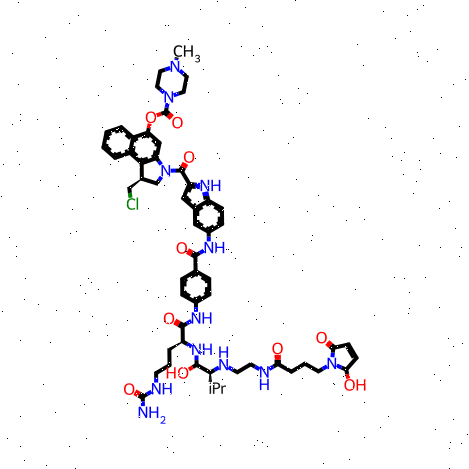 CC(C)[C@H](NCCNC(=O)CCCN1C(=O)C=CC1O)C(O)N[C@@H](CCCNC(N)=O)C(=O)Nc1ccc(C(=O)Nc2ccc3[nH]c(C(=O)N4C[C@@H](CCl)c5c4cc(OC(=O)N4CCN(C)CC4)c4ccccc54)cc3c2)cc1